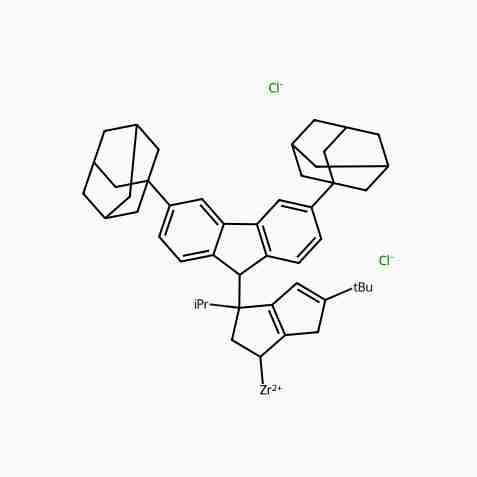 CC(C)C1(C2c3ccc(C45CC6CC(CC(C6)C4)C5)cc3-c3cc(C45CC6CC(CC(C6)C4)C5)ccc32)C[CH]([Zr+2])C2=C1C=C(C(C)(C)C)C2.[Cl-].[Cl-]